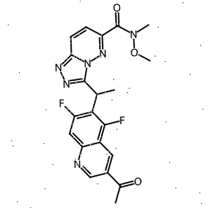 CON(C)C(=O)c1ccc2nnc(C(C)c3c(F)cc4ncc(C(C)=O)cc4c3F)n2n1